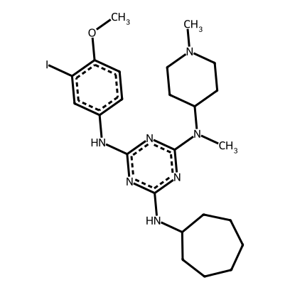 COc1ccc(Nc2nc(NC3CCCCCC3)nc(N(C)C3CCN(C)CC3)n2)cc1I